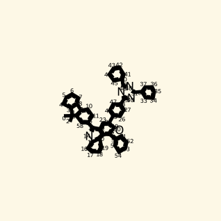 CC1(C)c2ccccc2-c2ccc(-c3nc4ccccc4c4c3cc(-c3ccc(-c5nc(-c6ccccc6)nc(-c6ccccc6)n5)cc3)c3oc5ccccc5c34)cc21